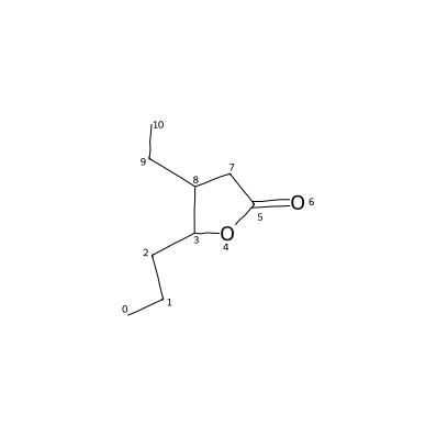 CCCC1OC(=O)CC1CC